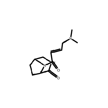 CN(C)CC=CC(=O)N1C2CCC1C(=O)NC2